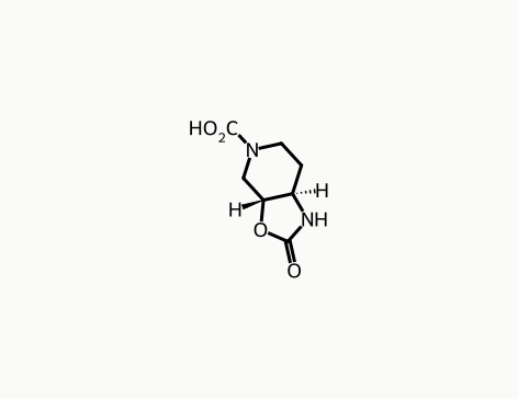 O=C1N[C@@H]2CCN(C(=O)O)C[C@H]2O1